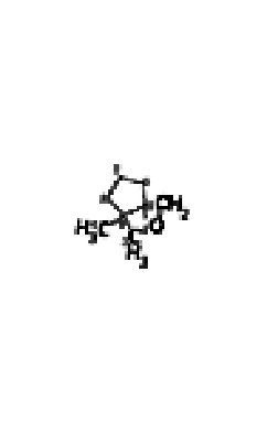 C=O.CC1(C)CCCC1